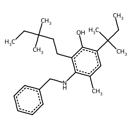 CCC(C)(C)CCc1c(O)c(C(C)(C)CC)cc(C)c1NCc1ccccc1